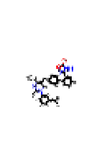 CCCCC1=C(Cc2ccc(-c3ccccc3-c3noc(=O)[nH]3)cc2)CN(c2cccc(C3CC3)c2)C(C)=N1